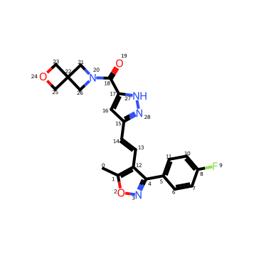 Cc1onc(-c2ccc(F)cc2)c1/C=C/c1cc(C(=O)N2CC3(COC3)C2)[nH]n1